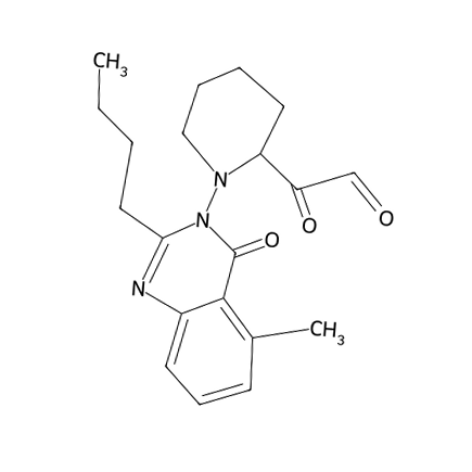 CCCCc1nc2cccc(C)c2c(=O)n1N1CCCCC1C(=O)C=O